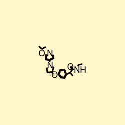 CCNC(=O)C(C)c1ccc(O[C@@H]2CCN(c3ccnc(OC(C)C)c3)C2)cc1